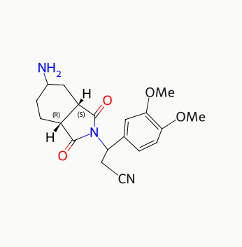 COc1ccc(C(CC#N)N2C(=O)[C@H]3CC(N)CC[C@H]3C2=O)cc1OC